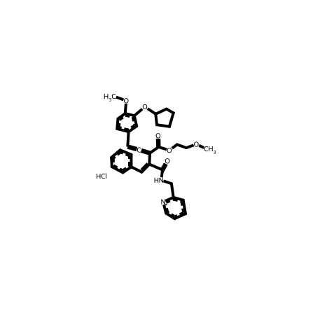 COCCOC(=O)C(=C=Cc1ccc(OC)c(OC2CCCC2)c1)C(=Cc1ccccc1)C(=O)NCc1ccccn1.Cl